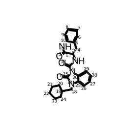 NC(=O)[C@H](Cc1ccccc1)NC(=O)n1c(=O)n(CC2CCCCC2)c2ccccc21